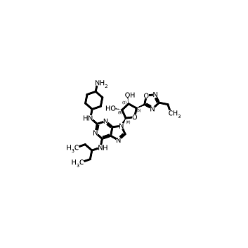 CCc1noc([C@H]2O[C@@H](n3cnc4c(NC(CC)CC)nc(NC5CCC(N)CC5)nc43)[C@H](O)[C@@H]2O)n1